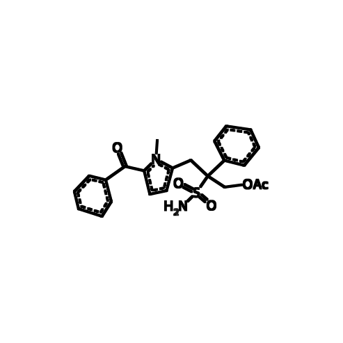 CC(=O)OCC(Cc1ccc(C(=O)c2ccccc2)n1C)(c1ccccc1)S(N)(=O)=O